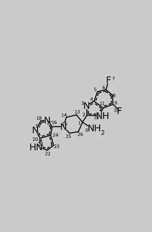 NC1(c2nc3cc(F)cc(F)c3[nH]2)CCN(c2ncnc3[nH]ccc23)CC1